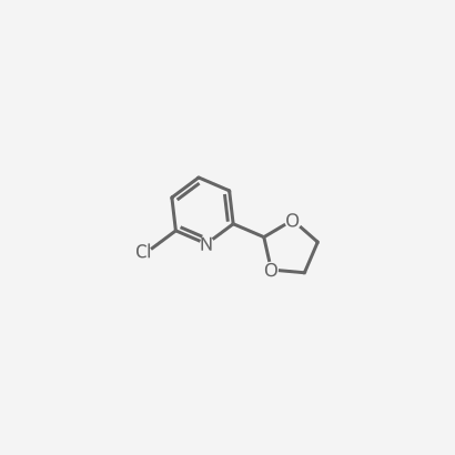 Clc1cccc(C2OCCO2)n1